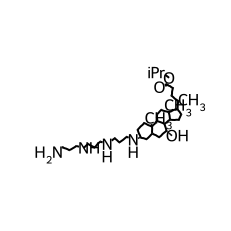 CC(C)OC(=O)CC[C@@H](C)C1CCC2C3C(CC[C@@]21C)[C@@]1(C)CC[C@H](NCCCNCCCNCCCN)CC1C[C@@H]3O